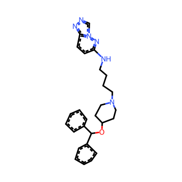 c1ccc(C(OC2CCN(CCCCNc3ccc4nncn4n3)CC2)c2ccccc2)cc1